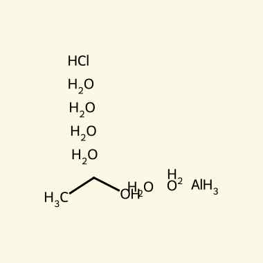 CCO.Cl.O.O.O.O.O.O.[AlH3]